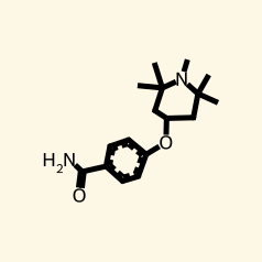 CN1C(C)(C)CC(Oc2ccc(C(N)=O)cc2)CC1(C)C